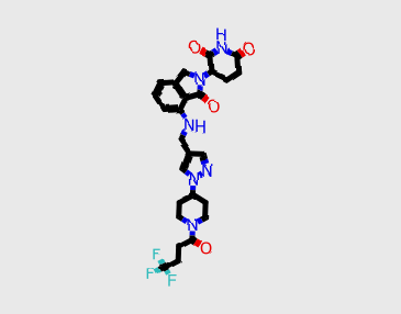 O=C1CCC(N2Cc3cccc(NCc4cnn(C5CCN(C(=O)CCC(F)(F)F)CC5)c4)c3C2=O)C(=O)N1